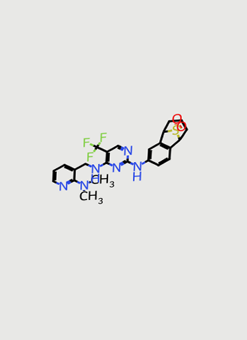 CN(C)c1ncccc1CNc1nc(Nc2ccc3c(c2)C2CCCC3S2(=O)=O)ncc1C(F)(F)F